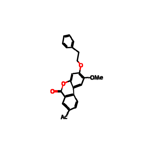 COc1cc2c(cc1OCCc1ccccc1)oc(=O)c1cc(C(C)=O)ccc12